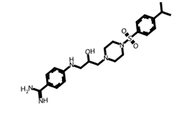 CC(C)c1ccc(S(=O)(=O)N2CCN(CC(O)CNc3ccc(C(=N)N)cc3)CC2)cc1